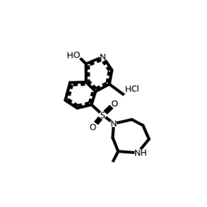 Cc1cnc(O)c2cccc(S(=O)(=O)N3CCCNC(C)C3)c12.Cl